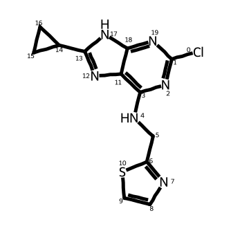 Clc1nc(NCc2nccs2)c2nc(C3CC3)[nH]c2n1